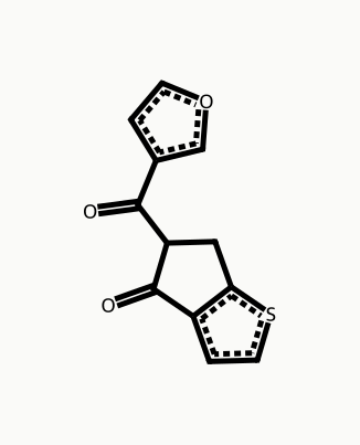 O=C(c1ccoc1)C1Cc2sccc2C1=O